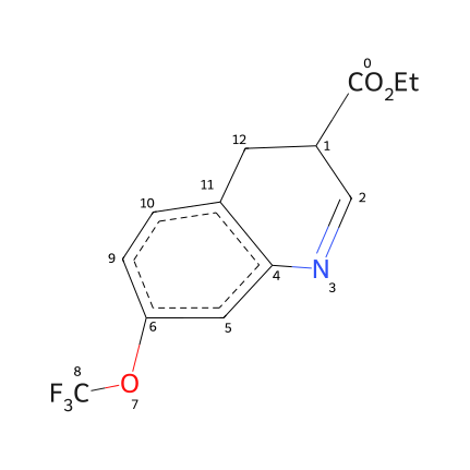 CCOC(=O)C1C=Nc2cc(OC(F)(F)F)ccc2C1